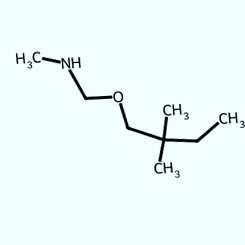 CCC(C)(C)COCNC